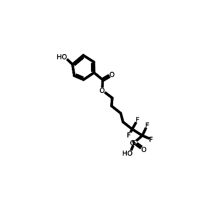 O=C(OCCCCC(F)(F)C(F)(F)S(=O)(=O)O)c1ccc(O)cc1